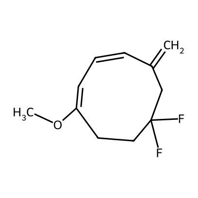 C=C1/C=C\C=C(\OC)CCC(F)(F)C1